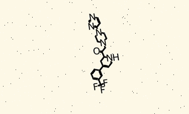 O=C(CN1CCN(c2ccncn2)CC1)C1CC(c2cccc(C(F)(F)F)c2)=CCN1